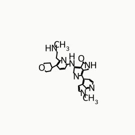 CNCCc1nc(Nc2cnc(-c3ccnc4c3ccn4C)c3c2C(=O)NC3)ccc1C1CCOCC1